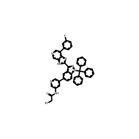 CC(C)CC(=O)Nc1cncc(-c2ccc3c(c2)c(-c2nc4c(-c5cccc(F)c5)cncc4[nH]2)nn3C(c2ccccc2)(c2ccccc2)c2ccccc2)c1